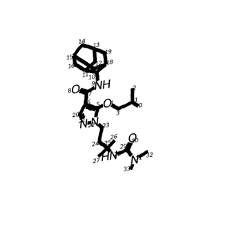 CC(C)COc1c(C(=O)NC2C3CC4CC(C3)CC2C4)cnn1CCC(C)(C)NC(=O)N(C)C